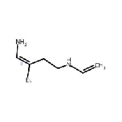 C=CNCC/C(=C\N)CC